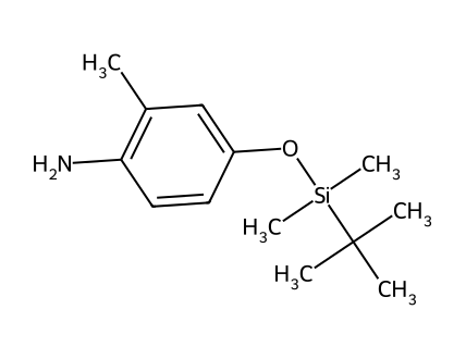 Cc1cc(O[Si](C)(C)C(C)(C)C)ccc1N